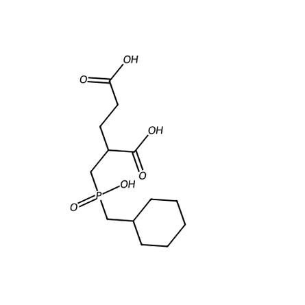 O=C(O)CCC(CP(=O)(O)CC1CCCCC1)C(=O)O